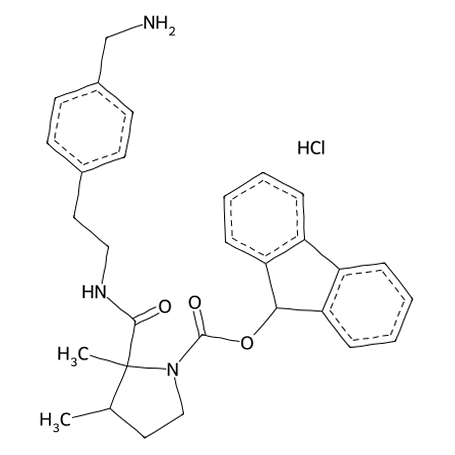 CC1CCN(C(=O)OC2c3ccccc3-c3ccccc32)C1(C)C(=O)NCCc1ccc(CN)cc1.Cl